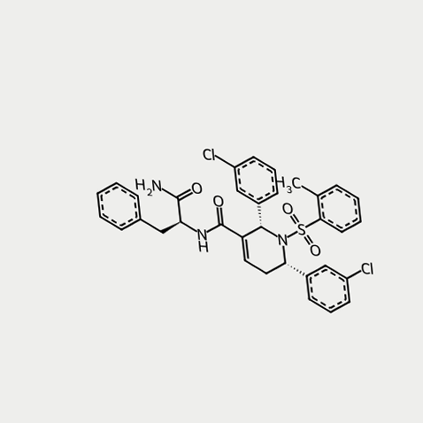 Cc1ccccc1S(=O)(=O)N1[C@@H](c2cccc(Cl)c2)C(C(=O)N[C@@H](Cc2ccccc2)C(N)=O)=CC[C@H]1c1cccc(Cl)c1